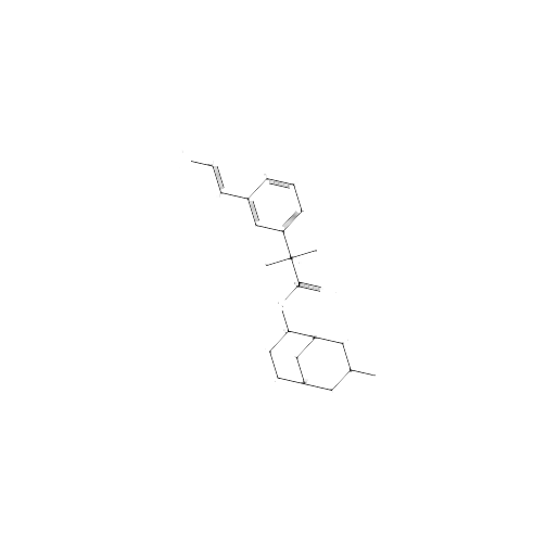 CCC1CC2CCC(NC(=O)C(C)(C)c3cccc(/C=C/C(=O)O)c3)C(C1)C2